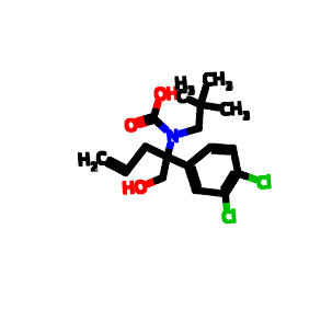 C=CCC(CO)(c1ccc(Cl)c(Cl)c1)N(CC(C)(C)C)C(=O)O